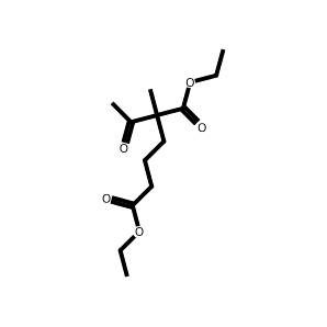 CCOC(=O)CCCC(C)(C(C)=O)C(=O)OCC